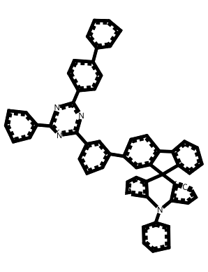 c1ccc(-c2ccc(-c3nc(-c4ccccc4)nc(-c4cccc(-c5ccc6c(c5)C5(c7ccccc7-6)c6ccccc6N(c6ccccc6)c6ccccc65)c4)n3)cc2)cc1